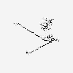 CCCCCCCCCCCCCCCCC=CC(=Nc1cc(C)cc(C)c1)C(C#CCCCCCCCCCCCCCCCCCCCCCCCCCCC)=Nc1cc(C)cc(C)c1.CCc1ccc(O)c(O)c1C(=O)[O-].CCc1ccc(O)c(O)c1C(=O)[O-].[Pd+2]